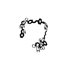 O=C1CCC(N2C(=O)c3cccc(OCCCCCN4CCN(CC#Cc5ccc(/C=C/c6ccc(C(=O)N7CCc8cnc(-c9cnc%10ccccc%10c9)nc8C7)cc6)cc5)CC4)c3C2=O)C(=O)N1